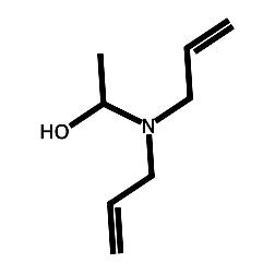 C=CCN(CC=C)C(C)O